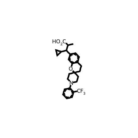 CC(C(=O)O)C(c1ccc2c(c1)OC1(CC2)CCN(c2ccccc2C(F)(F)F)CC1)C1CC1